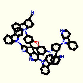 N#Cc1ccc2c(c1)c1ccccc1n2-c1ccc2c(c1)Oc1cc(-n3c4ccccc4c4cc(-n5c6ccccc6c6ccncc65)ccc43)ccc1C21c2cc(-n3c4ccccc4c4ccccc43)cnc2-c2ncc(-n3c4ccccc4c4cc(C#N)ccc43)cc21